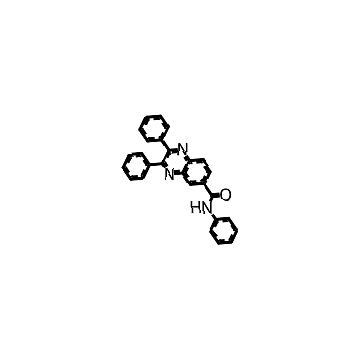 O=C(Nc1ccccc1)c1ccc2nc(-c3ccccc3)c(-c3ccccc3)nc2c1